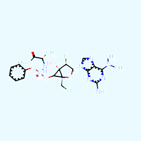 COC(=O)[C@@H](C)N[P@@](=O)(Oc1ccccc1)OC1[C@@]2(CCl)O[C@@H](n3cnc4c(N(C)C)nc(N)nc43)[C@H](F)[C@@]12O